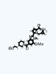 CCC(C)CC[C@@H]1CCCN(C(=O)c2cc(OC)c3c(c2)nc(-c2ccc(C(N)=O)n2CC2CC2)n3C)C1